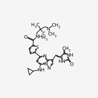 C=c1[nH]c(=O)[nH]/c1=C\c1cnn2c(NC3CC3)cc(-c3ccc(C(=O)NCC(C)(C)CN(C)C)s3)nc12